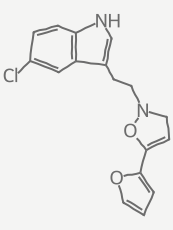 Clc1ccc2[nH]cc(CCN3CC=C(c4ccco4)O3)c2c1